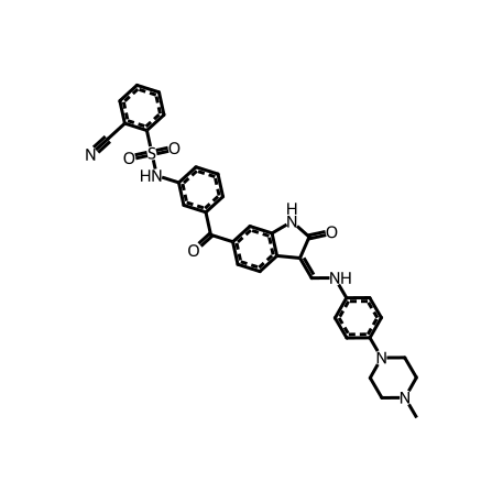 CN1CCN(c2ccc(NC=C3C(=O)Nc4cc(C(=O)c5cccc(NS(=O)(=O)c6ccccc6C#N)c5)ccc43)cc2)CC1